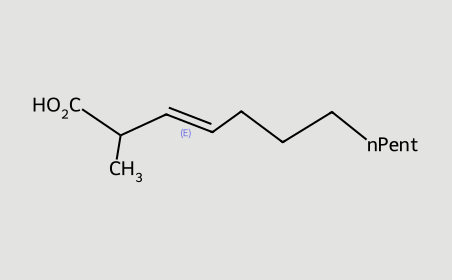 CCCCCCCC/C=C/C(C)C(=O)O